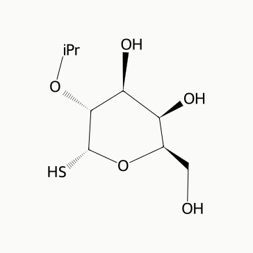 CC(C)O[C@@H]1[C@@H](O)[C@@H](O)[C@@H](CO)O[C@@H]1S